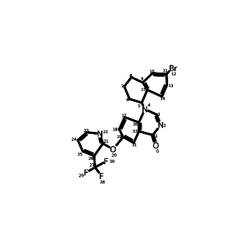 O=c1ncn(C2CCCc3cc(Br)ccc32)c2ccc(Oc3ncccc3C(F)(F)F)cc12